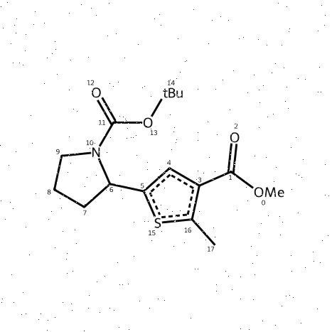 COC(=O)c1cc(C2CCCN2C(=O)OC(C)(C)C)sc1C